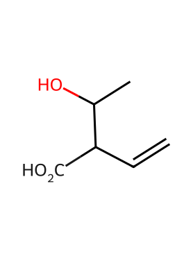 C=CC(C(=O)O)C(C)O